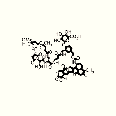 CC[C@@]1(O)C(=O)OCc2c1cc1n(c2=O)Cc2c-1nc1cc(F)c(C)c3c1c2[C@@H](NC(=O)OCc1ccc(O[C@@H]2O[C@H](C(=O)O)[C@@H](O)[C@H](O)[C@H]2O)c(CNC(=O)CCNC(=O)[C@H](CNC(=O)CCC(C)(C)OCCC(C)(C)OC)NC(=O)[C@H](CN)N2C(=O)C=CC2=O)c1)CC3